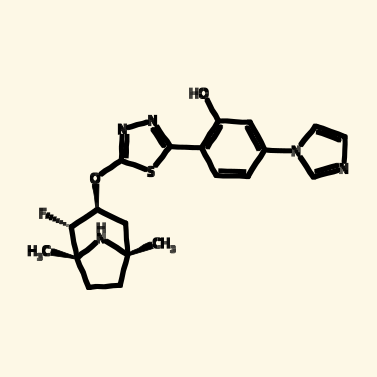 C[C@@]12CC[C@@](C)(N1)[C@H](F)[C@@H](Oc1nnc(-c3ccc(-n4ccnc4)cc3O)s1)C2